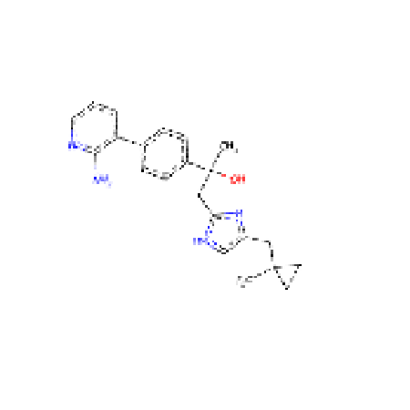 CC(O)(Cc1nc(CC2(C(F)(F)F)CC2)c[nH]1)c1ccc(-c2cccnc2N)cc1